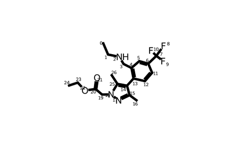 CCNCc1cc(C(F)(F)F)ccc1-c1c(C)nn(CC(=O)OCC)c1C